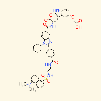 CN(C)c1cccc2c(S(=O)(=O)NCCNC(=O)c3ccc(-c4nc5cc(C(=O)N[C@@H](Cc6c[nH]c7ccc(OCC(=O)O)cc67)C(=O)O)ccc5n4C4CCCCC4)cc3)cccc12